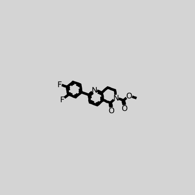 COC(=O)N1CCc2nc(-c3ccc(F)c(F)c3)ccc2C1=O